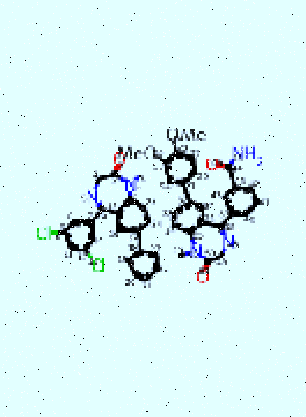 CN1C(=O)CN=C(c2cc(Cl)cc(Cl)c2)c2cc(-c3ccccc3)ccc21.COc1ccc(-c2ccc3c(c2)C(c2cccc(C(N)=O)c2)=NCC(=O)N3C)cc1OC